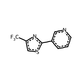 FC(F)(F)c1csc(-c2cccnc2)n1